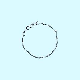 [C]1=C/C=C\C=C/C=C\C=C/C=C\C=C/C=C\C=C/C=C\C=C/C=CCCCCCC\1